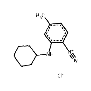 Cc1ccc([N+]#N)c(NC2CCCCC2)c1.[Cl-]